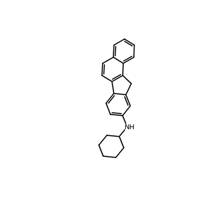 c1ccc2c3c(ccc2c1)-c1ccc(NC2CCCCC2)cc1C3